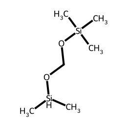 C[SiH](C)OCO[Si](C)(C)C